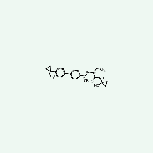 N#CC1(NC(=O)[C@H](CC(F)(F)F)N[C@@H](c2ccc(-c3ccc(C4(C(=O)O)CC4)cc3)cc2)C(F)(F)F)CC1